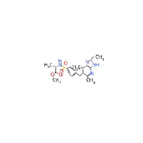 CCc1nc2c(C)c(Cc3ccc(S(=O)(=O)NC(C)C(=O)OC)cc3)c(C)nc2[nH]1